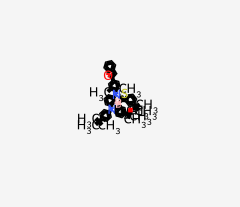 Cc1cc(-c2cc3ccccc3o2)cc(C)c1N1c2cccc3c2B(c2cc(C(C)(C)C)ccc2N3c2ccc(C(C)(C)C)cc2)c2c1sc1ccc(C(C)(C)C)cc21